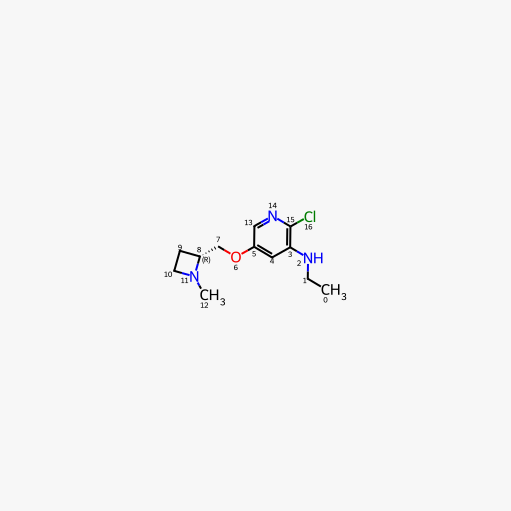 CCNc1cc(OC[C@H]2CCN2C)cnc1Cl